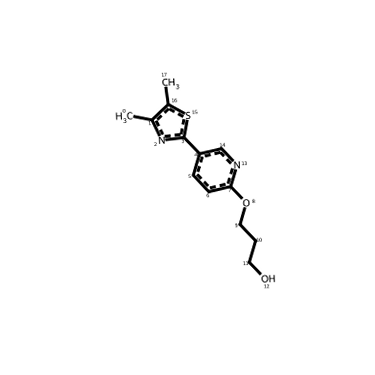 Cc1nc(-c2ccc(OCCCO)nc2)sc1C